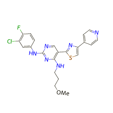 COCCCNc1nc(Nc2ccc(F)c(Cl)c2)ncc1-c1nc(-c2ccncc2)cs1